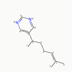 CC(C)=CCCC(C)c1cncnc1